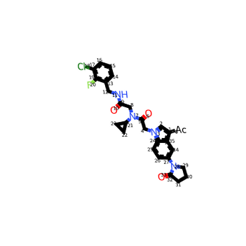 CC(=O)c1cn(CC(=O)N(CC(=O)NCc2cccc(Cl)c2F)C2CC2)c2ccc(N3CCCC3=O)cc12